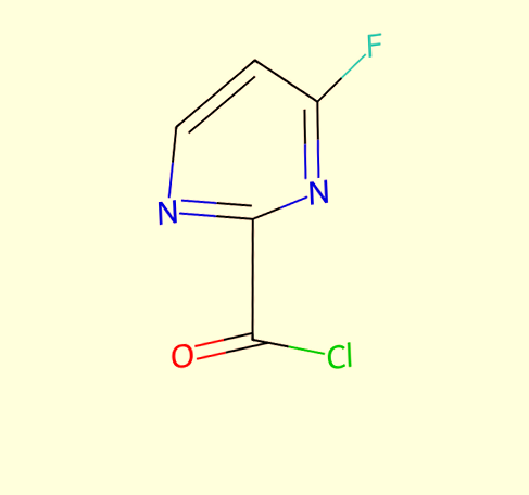 O=C(Cl)c1nccc(F)n1